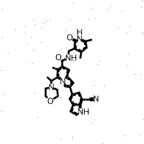 Cc1cc(C)c(CNC(=O)c2cc3cc(-c4cc(C#N)c5[nH]ccc5c4)cn3c(C(C)N3CCOCC3)c2C)c(=O)[nH]1